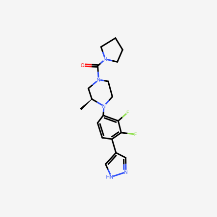 C[C@H]1CN(C(=O)N2CCCC2)CCN1c1ccc(-c2cn[nH]c2)c(F)c1F